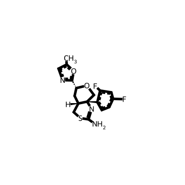 Cc1cnc([C@H]2C[C@H]3CSC(N)=N[C@@]3(c3ccc(F)cc3F)CO2)o1